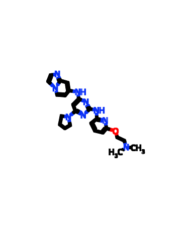 CN(C)CCOc1cccc(Nc2nc(Nc3ccn4ccnc4c3)cc(N3CCCC3)n2)n1